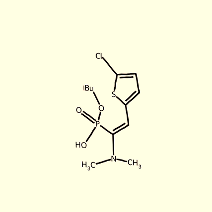 CCC(C)OP(=O)(O)C(=Cc1ccc(Cl)s1)N(C)C